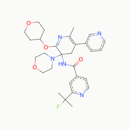 CC1=C(c2cccnc2)CC(NC(=O)c2ccnc(C(C)(C)F)c2)(N2CCOCC2)C(OC2CCOCC2)=N1